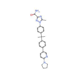 Cc1nc(C(N)=O)nn1-c1ccc(C(C)(C)c2ccc(-c3ccc(N4CCCC4)nc3)cc2)cc1